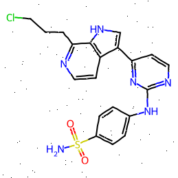 NS(=O)(=O)c1ccc(Nc2nccc(-c3c[nH]c4c(CCCCl)nccc34)n2)cc1